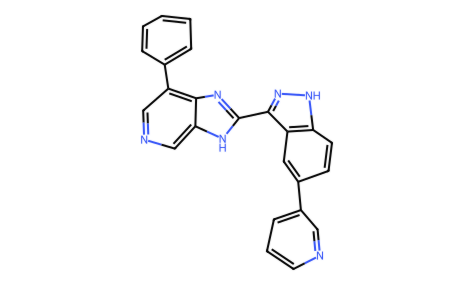 c1ccc(-c2cncc3[nH]c(-c4n[nH]c5ccc(-c6cccnc6)cc45)nc23)cc1